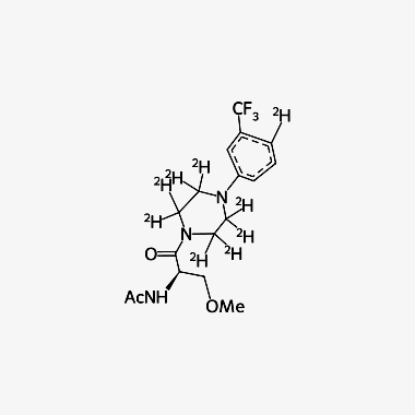 [2H]c1ccc(N2C([2H])([2H])C([2H])([2H])N(C(=O)[C@@H](COC)NC(C)=O)C([2H])([2H])C2([2H])[2H])cc1C(F)(F)F